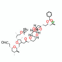 C=C(Br)C[C@H](CC[C@@]12C[C@H]3O[C@H]4C(O1)[C@H]1O[C@@H](CC(=O)CC5C(C[C@H]6O[C@@H](CCC=O)C[C@@H](C)C6=C)O[C@H](C[C@H](C)CO[Si](C)(C)C(C)(C)C)[C@@H]5C)CC[C@@H]1O[C@H]4[C@H]3O2)OC(=O)c1ccccc1